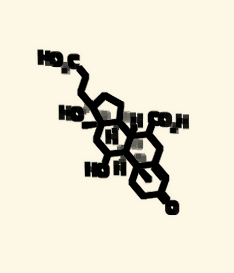 C[C@]12CCC(=O)C=C1CC(C(=O)O)[C@@H]1[C@@H]2C(O)C[C@@]2(C)[C@H]1CC[C@]2(O)CCC(=O)O